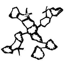 CC1(C)c2ccccc2-c2ccc(-c3c4c(c(C5CC=C6c7ccccc7C(C)(C)C6C5)c5cc(-c6ccccc6-c6ccccc6)ccc35)C=C3C(C4)C4=C(CCC=C4)S3(C)C)cc21